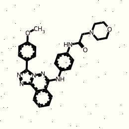 COc1ccc(-c2nnc3c4ccccc4c(Nc4ccc(NC(=O)CN5CCOCC5)cc4)nn23)cc1